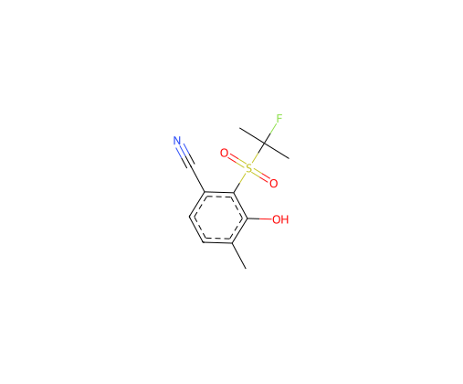 Cc1ccc(C#N)c(S(=O)(=O)C(C)(C)F)c1O